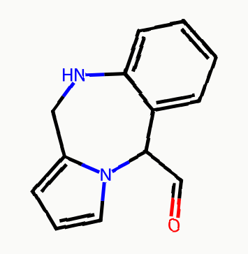 O=CC1c2ccccc2NCc2cccn21